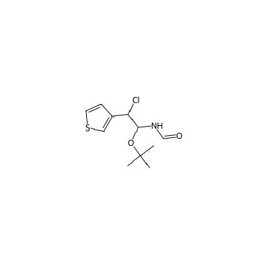 CC(C)(C)OC(NC=O)C(Cl)c1ccsc1